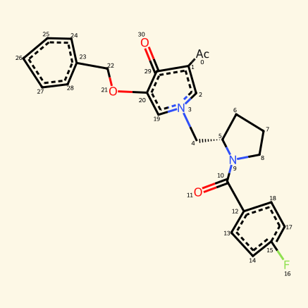 CC(=O)c1cn(C[C@@H]2CCCN2C(=O)c2ccc(F)cc2)cc(OCc2ccccc2)c1=O